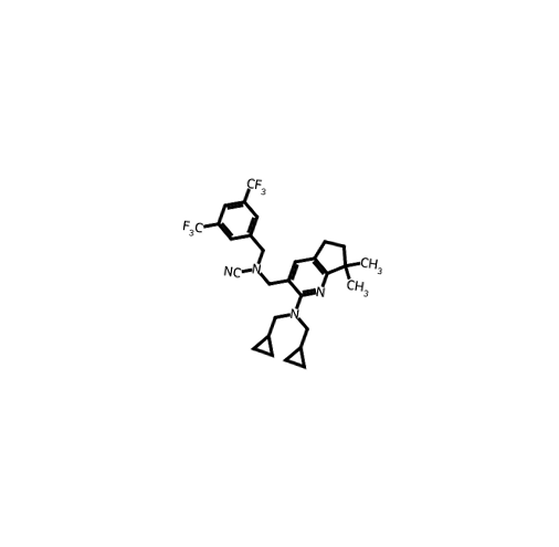 CC1(C)CCc2cc(CN(C#N)Cc3cc(C(F)(F)F)cc(C(F)(F)F)c3)c(N(CC3CC3)CC3CC3)nc21